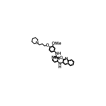 COc1cc(Nc2nccc(Nc3cc4ccccc4nc3OC)n2)ccc1OCCCN1CCCCC1